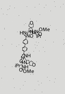 COC(=O)NC(C(=O)N1CC2(CCOCC2)CC1c1ncc(-c2ccc(-c3ccc(-c4c[nH]c([C@@H]5CC6(CCOCC6)CN5C(=O)[C@@H](NC(=O)OC)C(C)C)n4)cc3)cc2)[nH]1)C(C)C